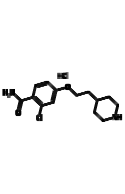 Cl.NC(=O)c1ccc(OCCC2CCNCC2)cc1Cl